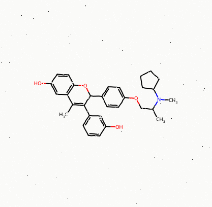 CC1=C(c2cccc(O)c2)C(c2ccc(OCC(C)N(C)C3CCCC3)cc2)Oc2ccc(O)cc21